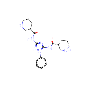 O=C(Nc1nc(NC(=O)C2CCCNC2)n(-c2ccccc2)n1)C1CCCNC1